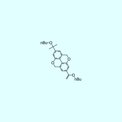 C=C(OCCCC)c1cc2c3c(c1)OCc1cc(C(C)(C)OCCCC)cc(c1-3)OC2